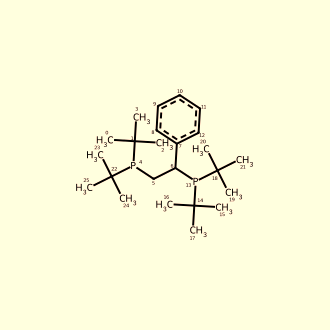 CC(C)(C)P(CC(c1ccccc1)P(C(C)(C)C)C(C)(C)C)C(C)(C)C